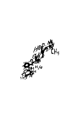 Cn1nnnc1SCC1=C(C(=O)O)N2C(=O)[C@@H](NC(=O)Cc3ccccc3NC(=O)c3[nH]cnc3C(=O)O)[C@H]2SC1.O